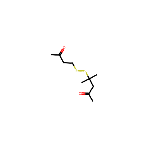 CC(=O)CCSSC(C)(C)CC(C)=O